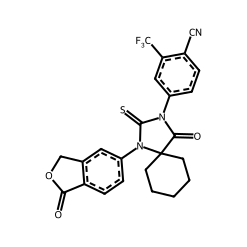 N#Cc1ccc(N2C(=O)C3(CCCCC3)N(c3ccc4c(c3)COC4=O)C2=S)cc1C(F)(F)F